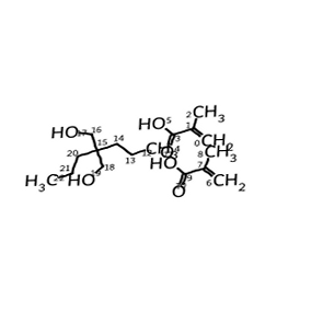 C=C(C)C(=O)O.C=C(C)C(=O)O.CCCC(CO)(CO)CCC